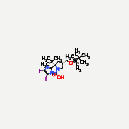 CC(C)(C)[C@]1(c2nc(I)c(I)[nH]2)C[C@H](CO[Si](C)(C)C(C)(C)C)CN1C(=O)O